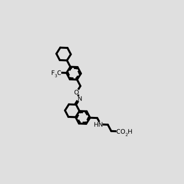 O=C(O)CCNCc1ccc2c(c1)C(=NOCc1ccc(C3CCCCC3)c(C(F)(F)F)c1)CCC2